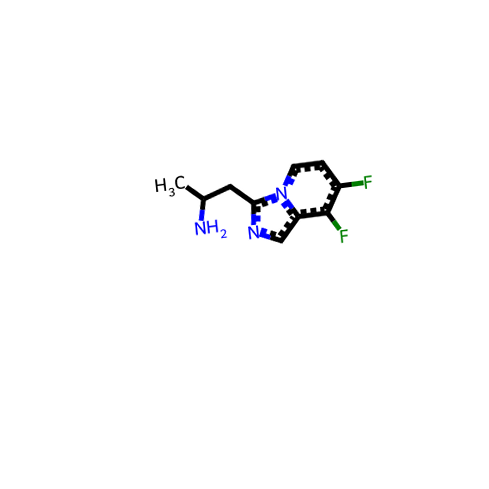 CC(N)Cc1ncc2c(F)c(F)ccn12